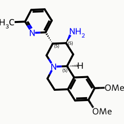 COc1cc2c(cc1OC)[C@@H]1C[C@H](N)[C@@H](c3cccc(C)n3)CN1CC2